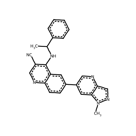 CC(Nc1c(C#N)cnc2ccc(-c3cnc4cnn(C)c4c3)cc12)c1ccccc1